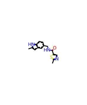 Cc1cc2cc(CNC(=O)c3cnc(C)s3)ccc2[nH]1